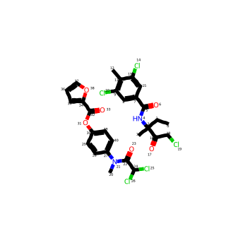 CCC(C)(NC(=O)c1cc(Cl)c(C)c(Cl)c1)C(=O)CCl.CN(C(=O)C(Cl)Cl)c1ccc(OC(=O)c2ccco2)cc1